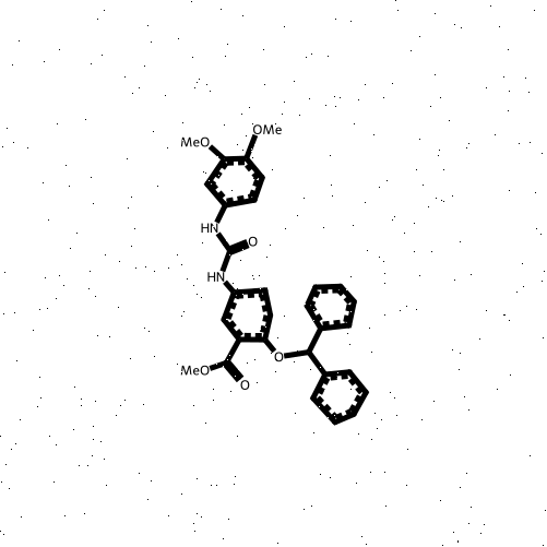 COC(=O)c1cc(NC(=O)Nc2ccc(OC)c(OC)c2)ccc1OC(c1ccccc1)c1ccccc1